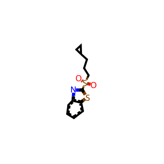 O=S(=O)(CCCC1CC1)c1nc2ccccc2s1